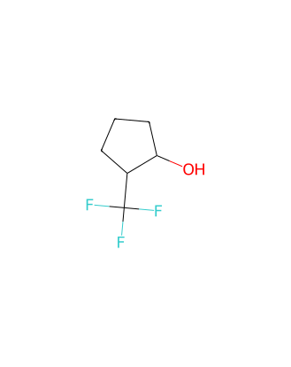 OC1CCCC1C(F)(F)F